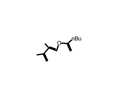 C=C(CCCC)O/C=C(\C)C(=C)C